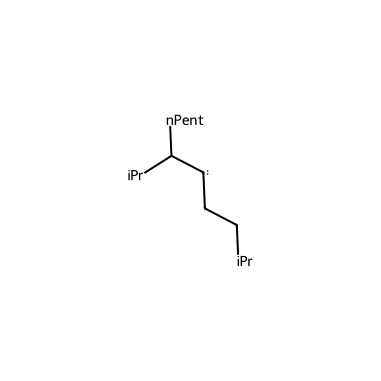 CCCCCC([C]CCC(C)C)C(C)C